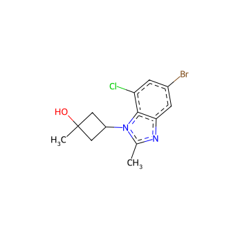 Cc1nc2cc(Br)cc(Cl)c2n1C1CC(C)(O)C1